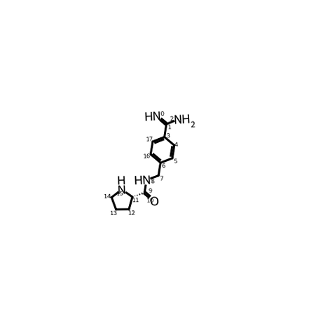 N=C(N)c1ccc(CNC(=O)[C@@H]2CCCN2)cc1